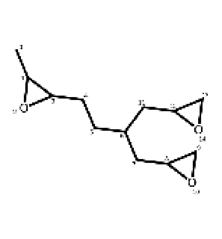 CC1OC1CCC(CC1CO1)CC1CO1